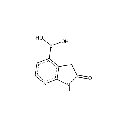 O=C1Cc2c(B(O)O)ccnc2N1